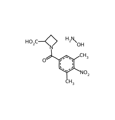 Cc1cc(C(=O)N2CCC2C(=O)O)cc(C)c1[N+](=O)[O-].NO